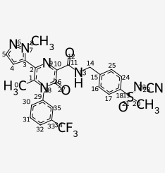 Cc1c(-c2ccnn2C)nc(C(=O)NCc2ccc(S(C)(=O)=NC#N)cc2)c(=O)n1-c1cccc(C(F)(F)F)c1